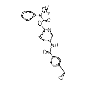 CN(C(=O)Oc1ccc(NC(=O)c2ccc(C=O)cc2)cn1)c1ccccc1